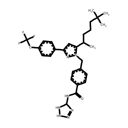 CC(CCCC(C)(C)C)c1cc(-c2ccc(OC(F)(F)F)cc2)nn1Cc1ccc(C(=O)NC2N=NNN2)cc1